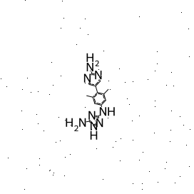 Cc1cc(Nc2n[nH]c(N)n2)cc(C)c1-c1cnc(N)nc1